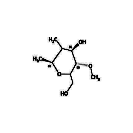 CO[C@@H]1C(CO)O[C@@H](C)C(C)[C@H]1O